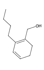 CCCCC1=C(CO)CCC=C1